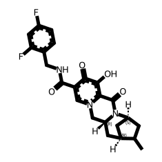 CC1C[C@H]2C[C@@H]1C[C@@H]1Cn3cc(C(=O)NCc4ccc(F)cc4F)c(=O)c(O)c3C(=O)N12